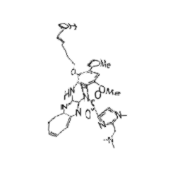 COc1cc(NC2=NC3CC=CC=C3N=C2NS(=O)(=O)c2cn(C)c(CN(C)C)n2)c(OCCCCO)c(OC)c1